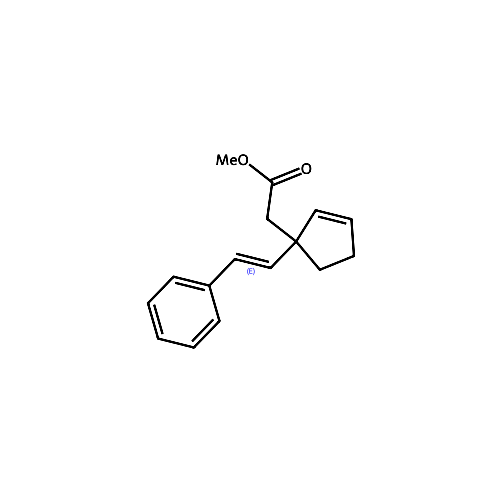 COC(=O)CC1(/C=C/c2ccccc2)C=CCC1